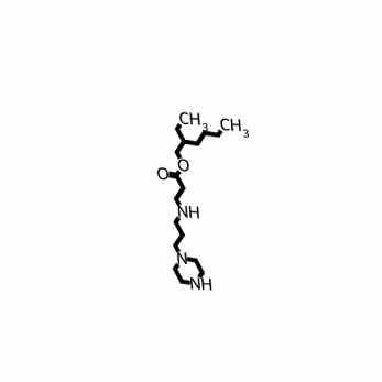 CCCCC(CC)COC(=O)CCNCCCN1CCNCC1